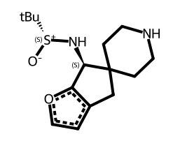 CC(C)(C)[S@@+]([O-])N[C@@H]1c2occc2CC12CCNCC2